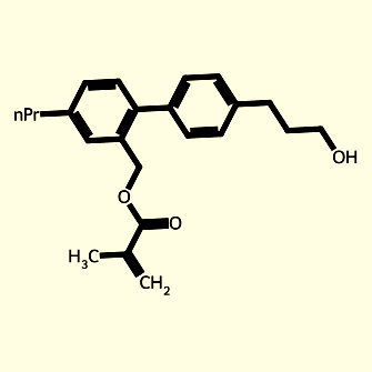 C=C(C)C(=O)OCc1cc(CCC)ccc1-c1ccc(CCCO)cc1